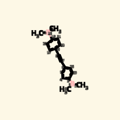 CB(C)c1ccc(C#Cc2ccc(B(C)C)cc2)cc1